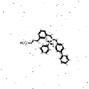 O=C(O)CCCc1cccc(CN(Cc2ccc(-c3ccccc3)cc2)S(=O)(=O)c2ccccc2)c1